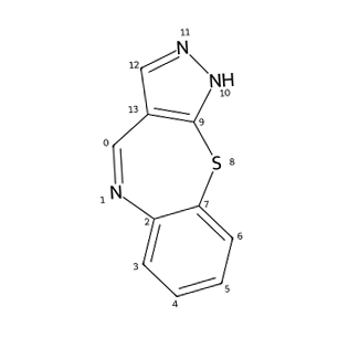 C1=Nc2ccccc2Sc2[nH]ncc21